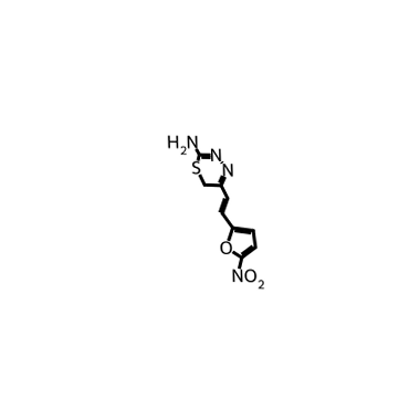 NC1=NN=C(C=Cc2ccc([N+](=O)[O-])o2)CS1